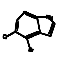 Clc1ccc2[nH]ccc2c1Br